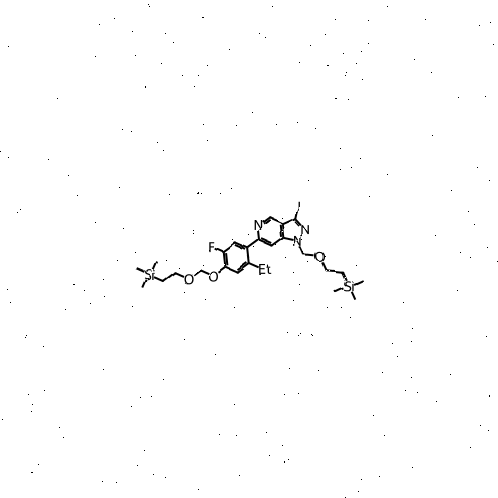 CCc1cc(OCOCC[Si](C)(C)C)c(F)cc1-c1cc2c(cn1)c(I)nn2COCC[Si](C)(C)C